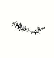 COC(=O)c1cc(NC(=O)c2nc(NC(=O)CCNC(=O)c3cc(NC(=O)c4nc(NC(=O)OC(C)(C)C)cn4C)cn3C)cn2C)cn1C